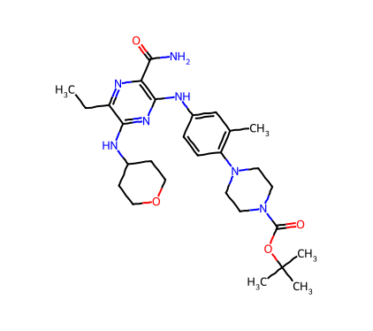 CCc1nc(C(N)=O)c(Nc2ccc(N3CCN(C(=O)OC(C)(C)C)CC3)c(C)c2)nc1NC1CCOCC1